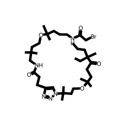 CCCC(C)(CC)C(=O)CCC(C)(C)OCCC(C)(C)n1cc(CCC(=O)NCC(C)(C)CCOC(C)(C)CCCNC(=O)CBr)nn1